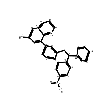 CC(C)c1cc(-c2cccc(CC(c3ccccc3)c3ccc([S+](C)[O-])cc3)c2)c2ncccc2c1